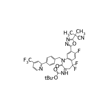 CC(C)(C)OC(=O)N[C@H]1CC(F)(F)c2cc(F)c(-c3nnc(C(C)(C)C#N)o3)cc2N(Cc2ccc(-c3cc(C(F)(F)F)ccn3)cc2)C1=O